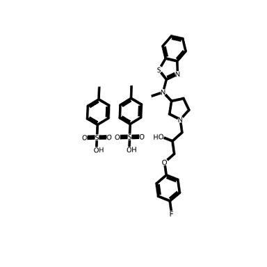 CN(c1nc2ccccc2s1)C1CCN(CC(O)COc2ccc(F)cc2)C1.Cc1ccc(S(=O)(=O)O)cc1.Cc1ccc(S(=O)(=O)O)cc1